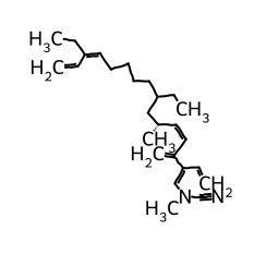 C=C/C(=C\CCCCC(CC)C[C@@H](C)/C=C\C(=C)/C(C=C)=C/N(C)C#N)CC